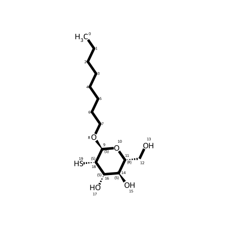 CCCCCCCCO[C@H]1O[C@H](CO)[C@@H](O)[C@H](O)[C@@H]1S